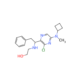 CN(c1cnc(C(Cc2ccccc2)NCCO)c(Cl)n1)C1CCC1